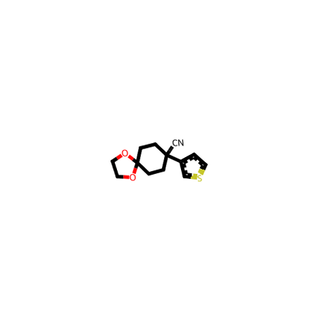 N#CC1(c2ccsc2)CCC2(CC1)OCCO2